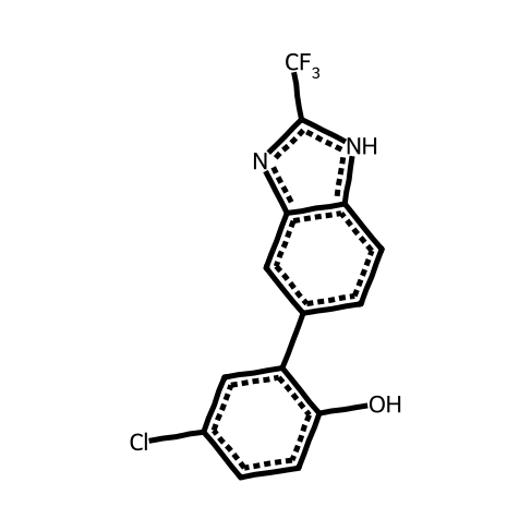 Oc1ccc(Cl)cc1-c1ccc2[nH]c(C(F)(F)F)nc2c1